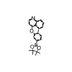 CC1(C)OB(c2ccc3c(c2)Oc2ccnc4cccc-3c24)OC1(C)C